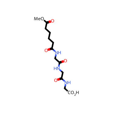 COC(=O)CCCCC(=O)NCC(=O)NCC(=O)NCC(=O)O